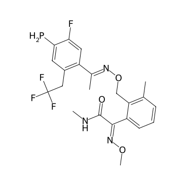 CNC(=O)/C(=N/OC)c1cccc(C)c1CO/N=C(\C)c1cc(F)c(P)cc1CC(F)(F)F